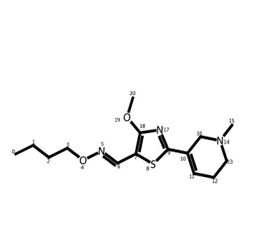 CCCCON=Cc1sc(C2=CCCN(C)C2)nc1OC